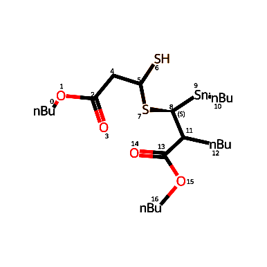 CCCCOC(=O)CC(S)S[C@@H]([Sn][CH2]CCC)C(CCCC)C(=O)OCCCC